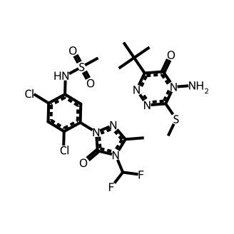 CSc1nnc(C(C)(C)C)c(=O)n1N.Cc1nn(-c2cc(NS(C)(=O)=O)c(Cl)cc2Cl)c(=O)n1C(F)F